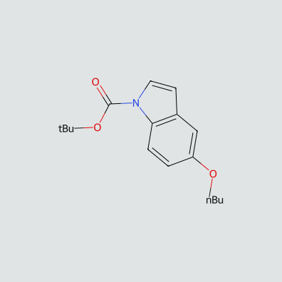 CCCCOc1ccc2c(ccn2C(=O)OC(C)(C)C)c1